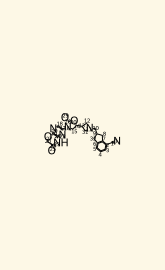 N#Cc1cccc2c1CC(CN1CC(C3CN(c4cnc5c(n4)NC(=O)CO5)C(=O)O3)C1)C2